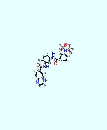 Cc1ccc(NC(=O)c2cccc(N(S(C)(=O)=O)S(C)(=O)=O)c2)cc1NC(=O)c1ccc2nccnc2c1